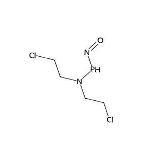 O=NPN(CCCl)CCCl